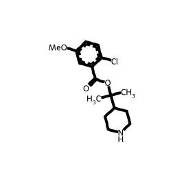 COc1ccc(Cl)c(C(=O)OC(C)(C)C2CCNCC2)c1